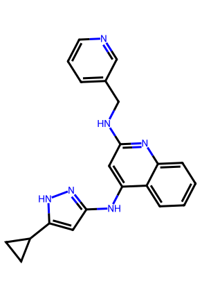 c1cncc(CNc2cc(Nc3cc(C4CC4)[nH]n3)c3ccccc3n2)c1